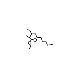 CCCCCCCC(CC)C(C)C(=O)OCC